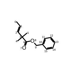 C/C=C/C(C)(C)C(=O)OCc1ccccc1